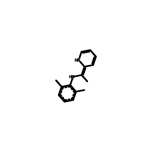 CC(Nc1c(C)cccc1C)=C1C=CC=CN1